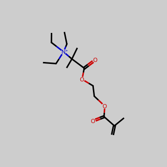 C=C(C)C(=O)OCCOC(=O)C(C)(C)[N+](CC)(CC)CC